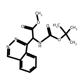 COC(=O)C(NC(=O)OC(C)(C)C)c1nncc2ccccc12